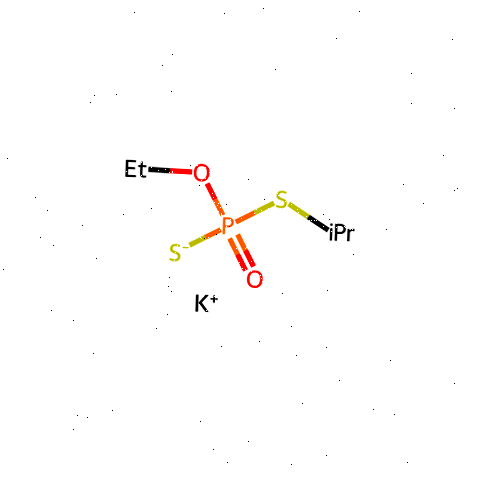 CCOP(=O)([S-])SC(C)C.[K+]